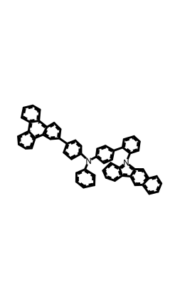 c1ccc(N(c2ccc(-c3ccc4c5ccccc5c5ccccc5c4c3)cc2)c2ccc(-c3ccccc3-n3c4ccccc4c4cc5ccccc5cc43)cc2)cc1